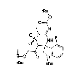 CCCCOCC1(c2ccccc2F)N/C(=N/C(=O)OC(C)(C)C)N(C)S(=O)(=O)C1C(=O)CO[Si](C)(C)C(C)(C)C